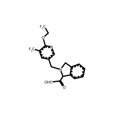 O=CC(=O)C1c2ccccc2CN1Cc1cnc(OCC(F)(F)F)c(C(F)(F)F)c1